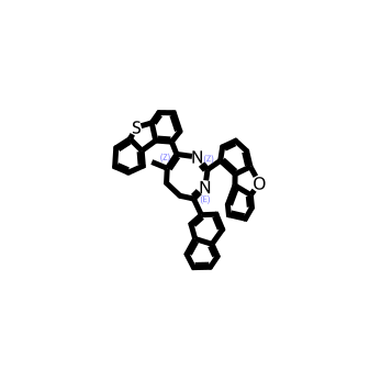 C/C1=C(c2cccc3sc4ccccc4c23)/N=C(c2cccc3oc4ccccc4c23)\N=C(\c2ccc3ccccc3c2)CC1